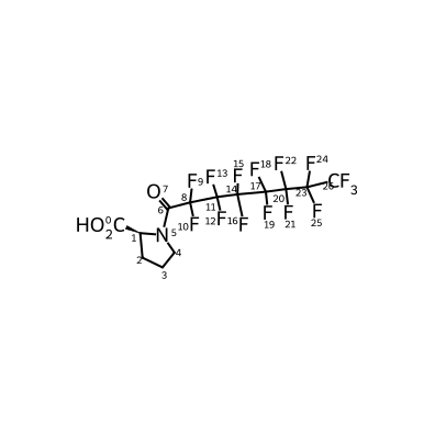 O=C(O)[C@@H]1CCCN1C(=O)C(F)(F)C(F)(F)C(F)(F)C(F)(F)C(F)(F)C(F)(F)C(F)(F)F